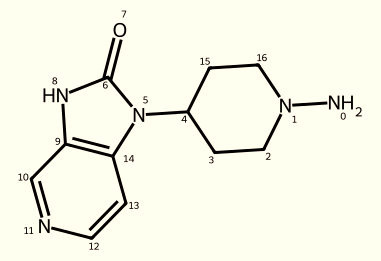 NN1CCC(n2c(=O)[nH]c3cnccc32)CC1